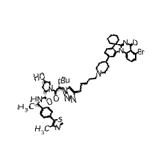 Cc1ncsc1-c1ccc([C@H](C)NC(=O)[C@@H]2C[C@@H](O)CN2C(=O)[C@@H](n2cc(CCCCCN3CCC(c4ccc5c(c4)-n4c(nc(=O)c6c(Br)cccc64)C54CCCCC4)CC3)nn2)C(C)(C)C)cc1